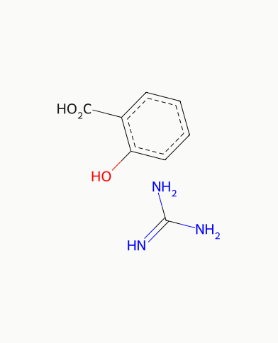 N=C(N)N.O=C(O)c1ccccc1O